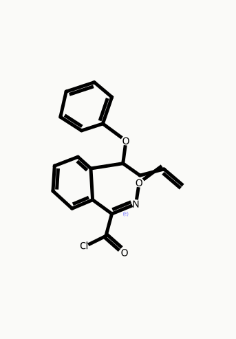 C=CCC(Oc1ccccc1)c1ccccc1/C(=N\OC)C(=O)Cl